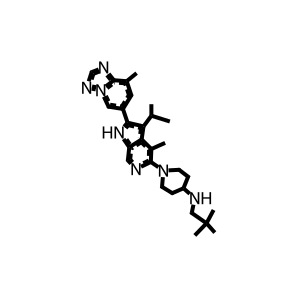 Cc1c(N2CCC(NCC(C)(C)C)CC2)ncc2[nH]c(-c3cc(C)c4ncnn4c3)c(C(C)C)c12